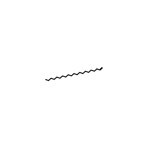 C=C[CH]CCCCCCCCCCCCCCCCCC